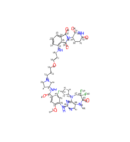 COc1cc(C(=O)NC2CCN(CCCOCCCNc3cccc4c3C(=O)N(C3CCC(=O)NC3=O)C4=O)C2)c(F)cc1Nc1ncc2c(n1)N(C1CCCC1)CC(F)(F)C(=O)N2C